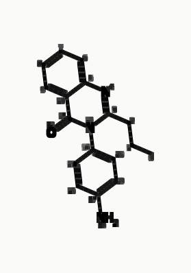 CCCc1nc2ccccc2c(=O)n1-c1ccc(N)cc1